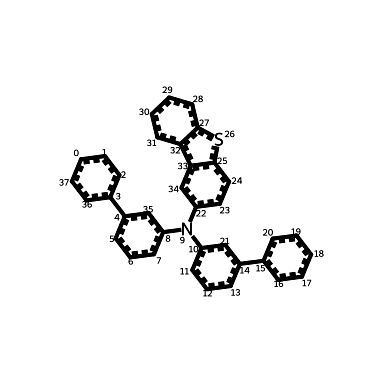 c1ccc(-c2cccc(N(c3cccc(-c4ccccc4)c3)c3ccc4sc5ccccc5c4c3)c2)cc1